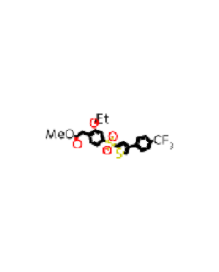 CCOc1cc(S(=O)(=O)c2cc(-c3ccc(C(F)(F)F)cc3)cs2)ccc1CC(=O)OC